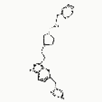 c1ccc(CNC[C@@H]2CCN(CCc3c[nH]c4ccc(Cn5cncn5)cc34)C2)cc1